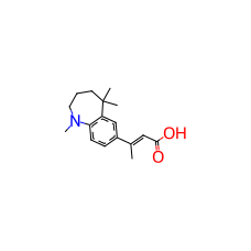 CC(=CC(=O)O)c1ccc2c(c1)C(C)(C)CCCN2C